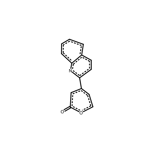 O=c1cc(-c2ccc3ccccc3n2)cco1